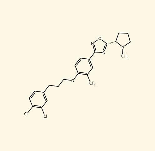 CN1CCC[C@H]1c1nc(-c2ccc(OCCCc3ccc(Cl)c(Cl)c3)c(C(F)(F)F)c2)no1